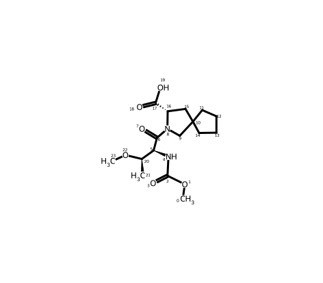 COC(=O)N[C@H](C(=O)N1CC2(CCCC2)C[C@H]1C(=O)O)[C@@H](C)OC